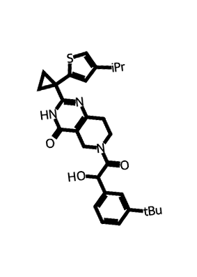 CC(C)c1csc(C2(c3nc4c(c(=O)[nH]3)CN(C(=O)C(O)c3cccc(C(C)(C)C)c3)CC4)CC2)c1